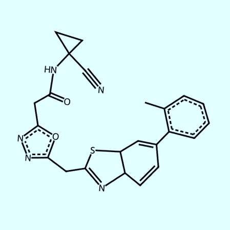 Cc1ccccc1C1=CC2SC(Cc3nnc(CC(=O)NC4(C#N)CC4)o3)=NC2C=C1